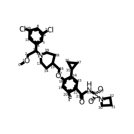 COCC(c1cc(Cl)cc(Cl)c1)N1CCC(COc2cc(F)c(C(=O)NS(=O)(=O)N3CCC3)cc2C2CC2)CC1